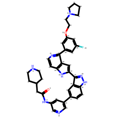 O=C(CC1CCNCC1)Nc1cncc(-c2ccc3[nH]nc(-c4cc5c(-c6cc(F)cc(OCCN7CCCC7)c6)nccc5[nH]4)c3c2)c1